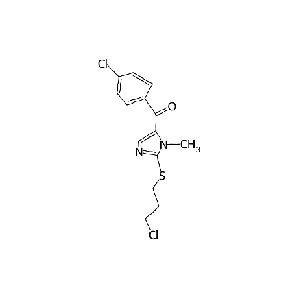 Cn1c(C(=O)c2ccc(Cl)cc2)cnc1SCCCCl